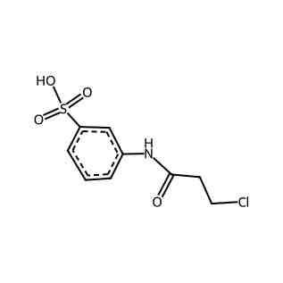 O=C(CCCl)Nc1cccc(S(=O)(=O)O)c1